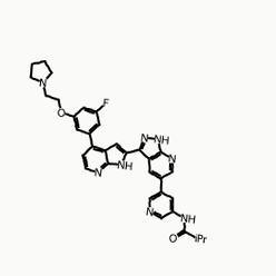 CC(C)C(=O)Nc1cncc(-c2cnc3[nH]nc(-c4cc5c(-c6cc(F)cc(OCCN7CCCC7)c6)ccnc5[nH]4)c3c2)c1